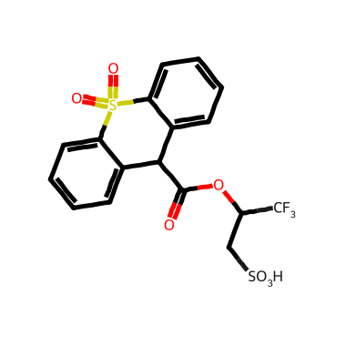 O=C(OC(CS(=O)(=O)O)C(F)(F)F)C1c2ccccc2S(=O)(=O)c2ccccc21